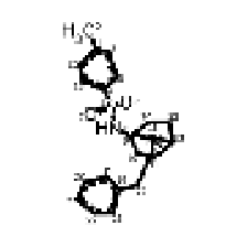 Cc1ccc(S(=O)(=O)NC23CCC(CC2)CN(Cc2ccccc2)C3)cc1